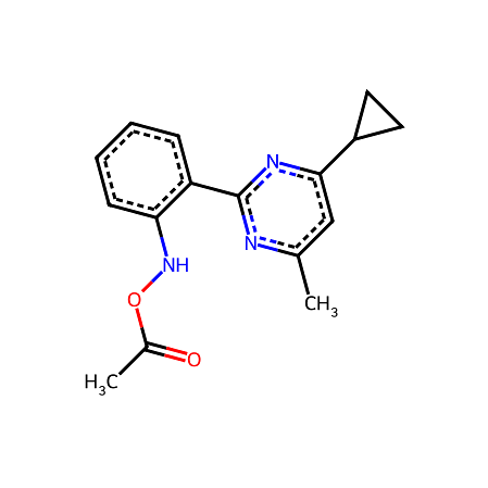 CC(=O)ONc1ccccc1-c1nc(C)cc(C2CC2)n1